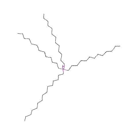 CCCCCCCCCCCCCCC[PH](CCCCCCCCCCCCC)(CCCCCCCCCCCCC)CCCCCCCCCCCCC